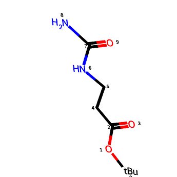 CC(C)(C)OC(=O)CCNC(N)=O